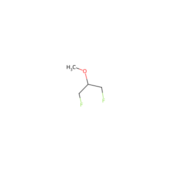 COC(CF)CF